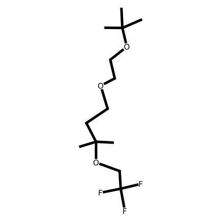 CC(C)(C)OCCOCCC(C)(C)OCC(F)(F)F